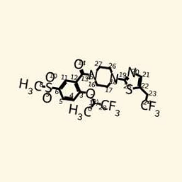 C[C@@H](Oc1ccc(S(C)(=O)=O)cc1C(=O)N1CCN(c2ncc(CC(F)(F)F)s2)CC1)C(F)(F)F